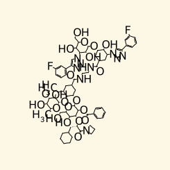 CCC1CC(C(=O)NCCNC(=O)C2CC(n3cc(-c4cccc(F)c4)nn3)C(O)[C@H](O[C@@H]3OC(CO)[C@H](O)C(n4cc(-c5cccc(F)c5)nn4)C3O)C2)C[C@@H](O[C@@H]2OC(CO)[C@H](O)C(O[C@@H](CC3CCCCC3)C(=O)N3CCC3)C2OC(=O)c2ccccc2)C1O[C@@H]1OC(C)[C@@H](O)C(O)C1O